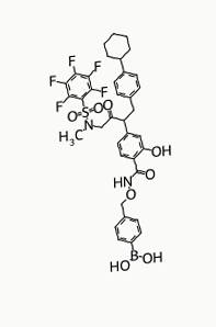 CN(CC(=O)C(Cc1ccc(C2CCCCC2)cc1)c1ccc(C(=O)NOCc2ccc(B(O)O)cc2)c(O)c1)S(=O)(=O)c1c(F)c(F)c(F)c(F)c1F